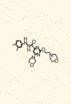 Cc1ccc(NNC(=O)c2cc(N3CCOCC3)nc(OCCN3CCOCC3)n2)cc1C